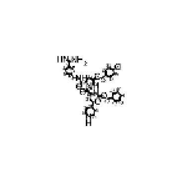 N=C(N)C1=CCC(CNC(=O)[C@@H]2C[C@@H](OCc3ccc(Cl)cc3)CN2C(=O)[C@@H](CCC2CCNCC2)NC(=O)OCc2ccccc2)S1